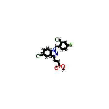 COC(=O)/C=C/c1nn(Cc2ccc(F)cc2Cl)c2ccc(Cl)cc12